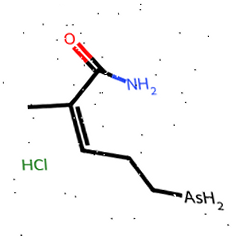 CC(=CCC[AsH2])C(N)=O.Cl